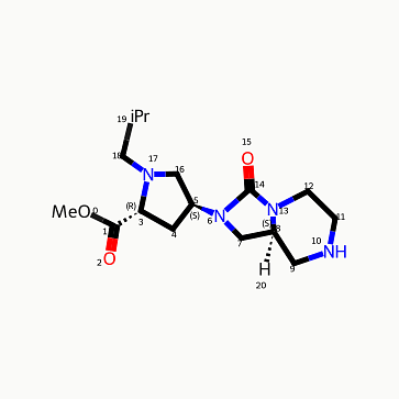 COC(=O)[C@H]1C[C@H](N2C[C@@H]3CNCCN3C2=O)CN1CC(C)C